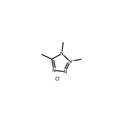 Cc1nn[n+](C)n1C.[Cl-]